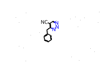 N#Cc1cnnnc1Cc1ccccc1